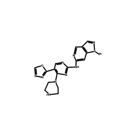 CC(C)n1ncc2cnc(Nc3ncc(-c4nnco4)c(N4CCNCC4)n3)cc21